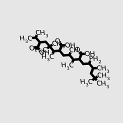 CC(C)C(CC(C)(C)C(C)C(CC(C)C(C)C(CC(P)C(C)CC(C)(C)C)C(=O)O)C(=O)O)C(=O)O